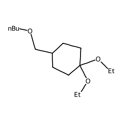 CCCCOCC1CCC(OCC)(OCC)CC1